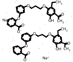 CCc1cc(C(C)=O)c(O)cc1OCCCOc1cccc(Oc2ccccc2C(=O)[O-])c1.CCc1cc(C(C)=O)c(O)cc1OCCCOc1cccc(Oc2ccccc2C(=O)[O-])c1.[Na+].[Na+]